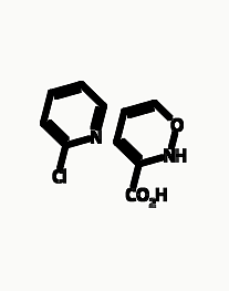 Clc1ccccn1.O=C(O)C1=CC=CON1